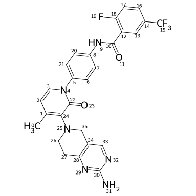 Cc1ccn(-c2ccc(NC(=O)c3cc(C(F)(F)F)ccc3F)cc2)c(=O)c1N1CCc2nc(N)ncc2C1